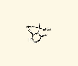 CCCCCC(C)(CCCCC)n1c(=O)cc[nH]c1=O